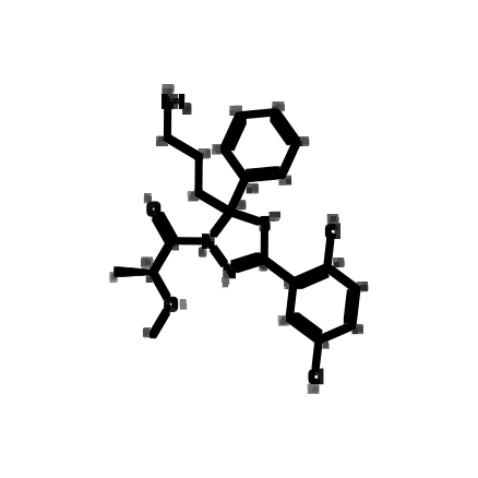 CO[C@@H](C)C(=O)N1N=C(c2cc(Cl)ccc2Cl)SC1(CCCN)c1ccccc1